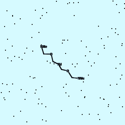 CNCOCNCOCNC